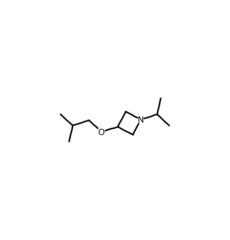 CC(C)COC1CN(C(C)C)C1